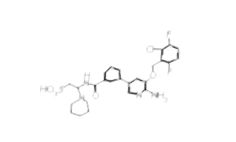 Nc1ncc(-c2cccc(C(=O)NC(CS(=O)(=O)O)N3CCCCC3)c2)cc1OCc1c(F)ccc(F)c1Cl